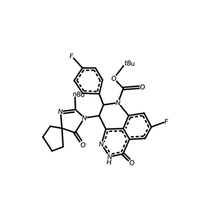 CCCCC1=NC2(CCCC2)C(=O)N1C1c2n[nH]c(=O)c3cc(F)cc(c23)N(C(=O)OC(C)(C)C)C1c1ccc(F)cc1